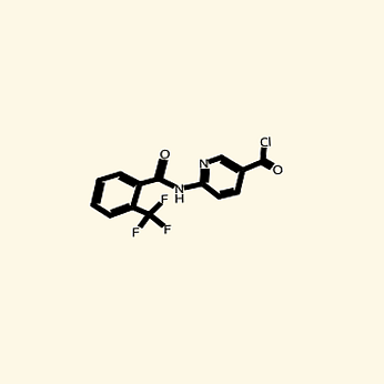 O=C(Cl)c1ccc(NC(=O)c2ccccc2C(F)(F)F)nc1